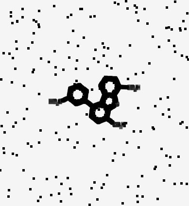 O=C(O)c1cccc(-c2ccc(C(=O)O)c3oc4c(C(=O)O)cccc4c23)c1